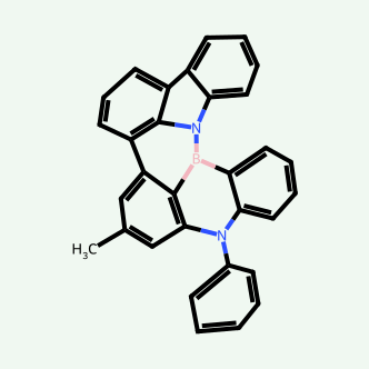 Cc1cc2c3c(c1)N(c1ccccc1)c1ccccc1B3n1c3ccccc3c3cccc-2c31